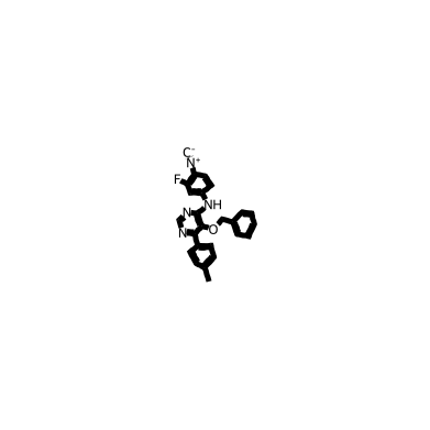 [C-]#[N+]c1ccc(Nc2ncnc(-c3ccc(C)cc3)c2OCc2ccccc2)cc1F